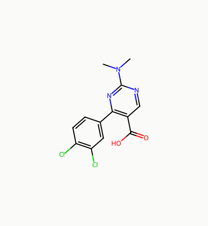 CN(C)c1ncc(C(=O)O)c(-c2ccc(Cl)c(Cl)c2)n1